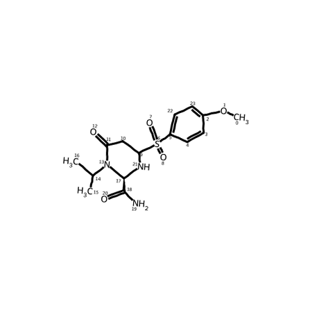 COc1ccc(S(=O)(=O)C2CC(=O)N(C(C)C)[C@H](C(N)=O)N2)cc1